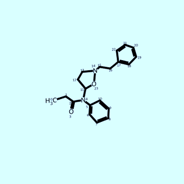 CCC(=O)N(c1ccccc1)C1CCN(CCc2ccccc2)O1